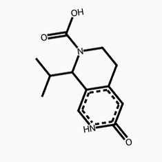 CC(C)C1c2c[nH]c(=O)cc2CCN1C(=O)O